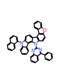 c1ccc(-c2nc(-n3c4ccc5oc6ccccc6c5c4c4ccc5c(c6ccccc6n5-c5cccc6ccccc56)c43)nc3ccccc23)cc1